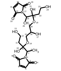 CC(N1C(=O)C=CC1=O)C(O)(CCO)OCC(O)COC(O)(CCO)C(C)N1C(=O)C=CC1=O